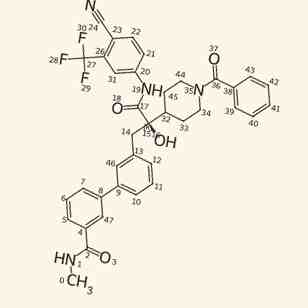 CNC(=O)c1cccc(-c2cccc(C[C@](O)(C(=O)Nc3ccc(C#N)c(C(F)(F)F)c3)C3CCN(C(=O)c4ccccc4)CC3)c2)c1